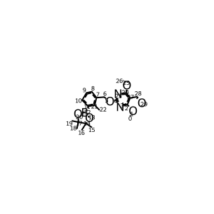 COc1nc(OCc2cccc(B3OC(C)(C)C(C)(C)O3)c2C)nc(OC)c1C=O